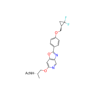 CC(=O)N[C@@H](C)COc1cc2oc(-c3ccc(OC[C@H]4CC4(F)F)cc3)nc2cn1